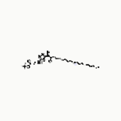 CCCCCCCC/C=C/CCCCCCCC(=O)Nc1nnc(NCCC(=O)OC(C)(C)C)s1